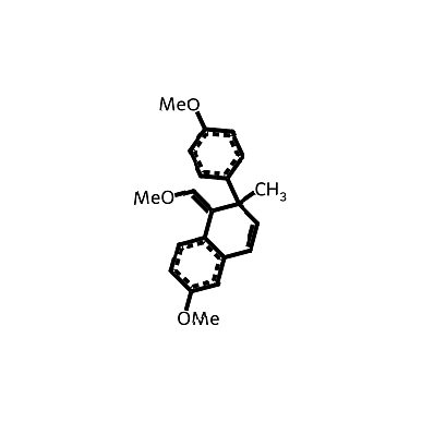 COC=C1c2ccc(OC)cc2C=CC1(C)c1ccc(OC)cc1